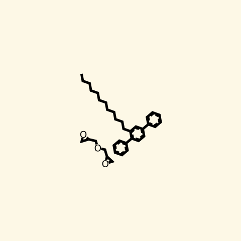 C(OCC1CO1)C1CO1.CCCCCCCCCCCCc1cc(-c2ccccc2)ccc1-c1ccccc1